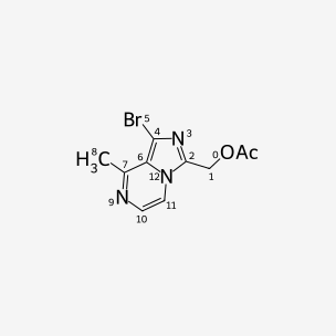 CC(=O)OCc1nc(Br)c2c(C)nccn12